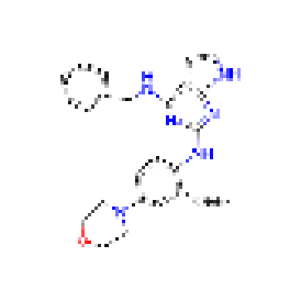 COc1cc(N2CCOCC2)ccc1Nc1nc(NCc2ccccc2)c2cc[nH]c2n1